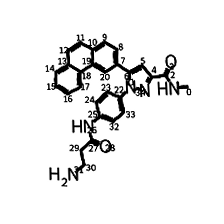 CNC(=O)c1cc(-c2ccc3ccc4ccccc4c3c2)n(-c2ccc(NC(=O)CCN)cc2)n1